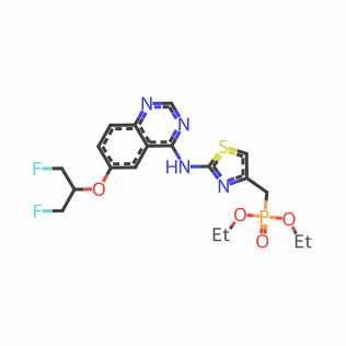 CCOP(=O)(Cc1csc(Nc2ncnc3ccc(OC(CF)CF)cc23)n1)OCC